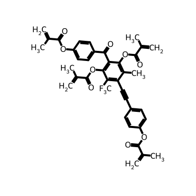 C=C(C)C(=O)Oc1ccc(C#Cc2c(C)c(OC(=O)C(=C)C)c(C(=O)c3ccc(OC(=O)C(=C)C)cc3)c(OC(=O)C(=C)C)c2C(F)(F)F)cc1